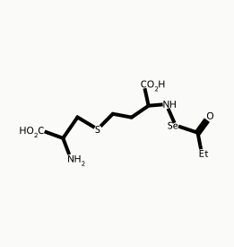 CCC(=O)[Se]NC(CCSCC(N)C(=O)O)C(=O)O